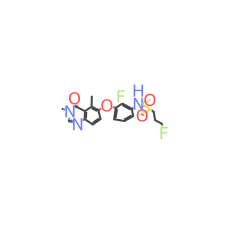 Cc1c(Oc2cccc(NS(=O)(=O)CCCF)c2F)ccc2ncn(C)c(=O)c12